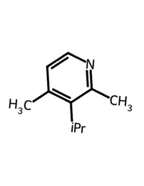 Cc1ccnc(C)c1C(C)C